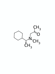 CC(=O)CN(C)[C@@H](C)C1CCCCC1